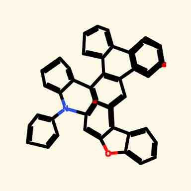 c1ccc(-c2ccccc2-c2c(-c3ccccc3)cccc2-c2ccccc2N(c2ccccc2)c2ccc3c(c2)oc2ccccc23)cc1